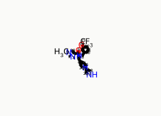 Cn1cnc(C(=O)N(Cc2cccc(OC(F)(F)F)c2)CC2C3CN(C4CNC4)CC23)c1